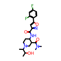 CC(O)C(C)N1CCC(NC(=O)c2cc(-c3ccc(F)cc3F)on2)C(C(=O)N(C)C)C1